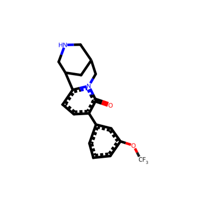 O=c1c(-c2cccc(OC(F)(F)F)c2)ccc2n1CC1CNCC2C1